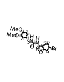 COc1ccc(SNC(=O)Nc2noc3cc(Br)ccc23)cc1OC